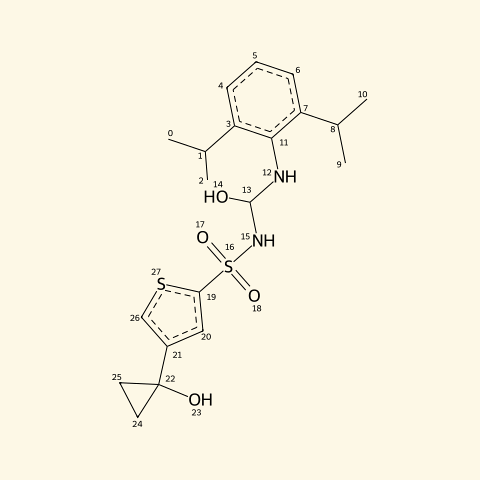 CC(C)c1cccc(C(C)C)c1NC(O)NS(=O)(=O)c1cc(C2(O)CC2)cs1